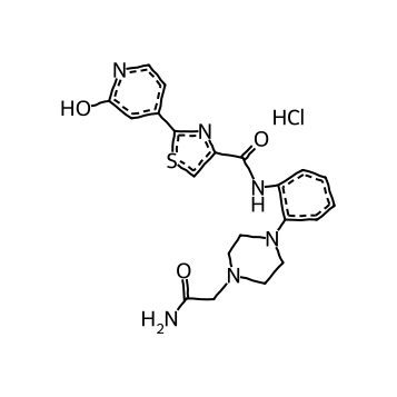 Cl.NC(=O)CN1CCN(c2ccccc2NC(=O)c2csc(-c3ccnc(O)c3)n2)CC1